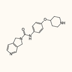 O=C(Nc1ccc(OC2CCNCC2)cc1)N1Cc2ccncc2C1